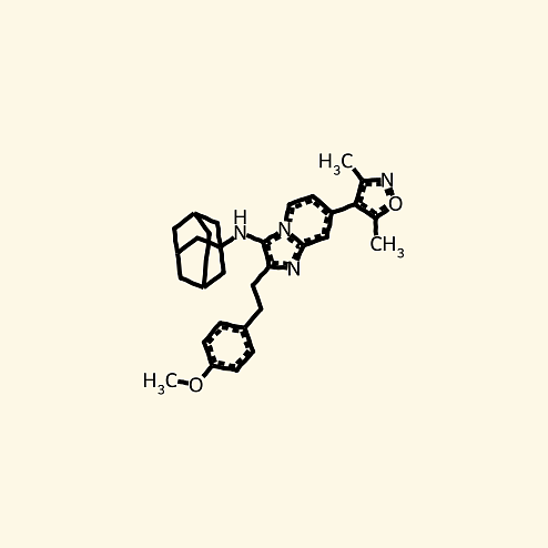 COc1ccc(CCc2nc3cc(-c4c(C)noc4C)ccn3c2NC23CC4CC(CC(C4)C2)C3)cc1